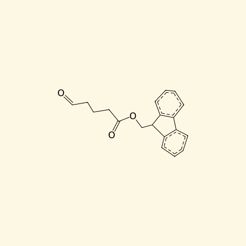 O=CCCCC(=O)OCC1c2ccccc2-c2ccccc21